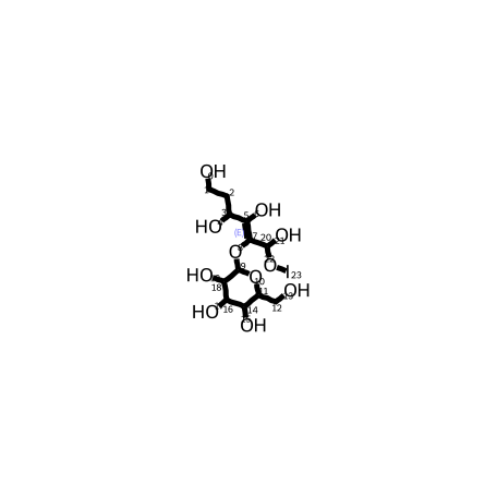 OCCC(O)/C(O)=C(\OC1OC(CO)C(O)C(O)C1O)C(O)OI